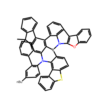 CCCCc1ccc(N2c3cc4c(c5c3B(c3ccc6sc7ccccc7c6c32)n2c3oc6ccccc6c3c3cccc-5c32)-c2ccccc2C4(C)C)c(-c2ccccc2)c1